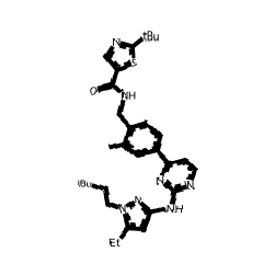 CCc1cc(Nc2nccc(-c3ccc(CNC(=O)c4cnc(C(C)(C)C)s4)c(C)c3)n2)nn1CCC(C)CC